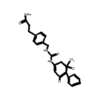 COC(=O)CCc1ccc(CNC(=O)NC2=CC(Cl)=C(c3ccccc3)C(Cl)(C(F)(F)F)C2)cc1